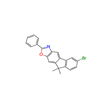 CC1(C)c2ccc(Br)cc2-c2cc3nc(-c4ccccc4)oc3cc21